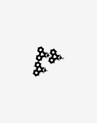 [Ir].c1ccc2c(c1)c1ccccc1c1scnc21.c1ccc2c(c1)c1ccccc1c1scnc21.c1ccc2c(c1)c1ccccc1c1scnc21